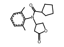 Cc1cccc(C)c1N(C(=O)C1CCCC1)C1COC(=O)C1